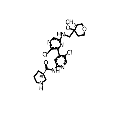 COC1(CNc2cnc(Cl)c(-c3cc(NC(=O)[C@@H]4CCCNC4)ncc3Cl)n2)CCOCC1